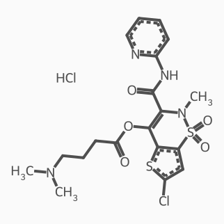 CN(C)CCCC(=O)OC1=C(C(=O)Nc2ccccn2)N(C)S(=O)(=O)c2cc(Cl)sc21.Cl